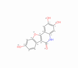 O=c1[nH]c2cc(O)c(O)cc2c2oc3cc(O)ccc3c12